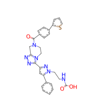 O=C(O)NCCn1nc(-c2nnc3n2CCN(C(=O)c2ccc(-c4cccs4)cc2)C3)cc1-c1ccccc1